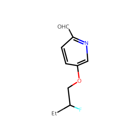 CCC(F)COc1ccc(C=O)nc1